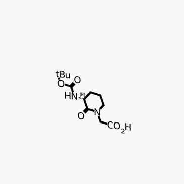 CC(C)(C)OC(=O)N[C@@H]1CCCN(CC(=O)O)C1=O